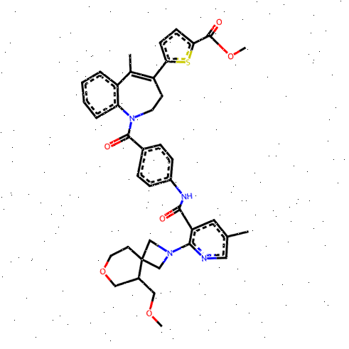 COCC1COCCC12CN(c1ncc(C)cc1C(=O)Nc1ccc(C(=O)N3CCC(c4ccc(C(=O)OC)s4)=C(C)c4ccccc43)cc1)C2